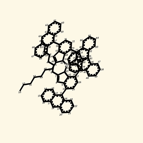 CCCCCCCC1=Cc2c(-c3c4ccccc4cc4ccccc34)ccc(-c3c4ccccc4cc4ccccc34)c2[CH]1[Zr]([CH]1C(CCCCCCC)=Cc2c(-c3c4ccccc4cc4ccccc34)ccc(-c3c4ccccc4cc4ccccc34)c21)[SiH](C)C